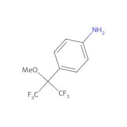 COC(c1ccc(N)cc1)(C(F)(F)F)C(F)(F)F